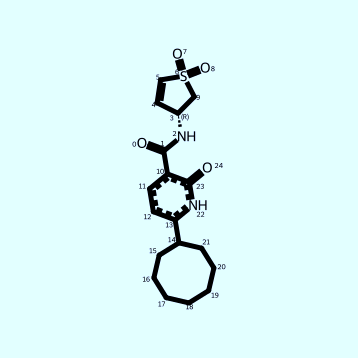 O=C(N[C@@H]1C=CS(=O)(=O)C1)c1ccc(C2CCCCCCC2)[nH]c1=O